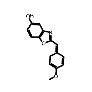 COC1=CCC(=Cc2nc3cc(O)ccc3o2)C=C1